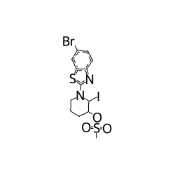 CS(=O)(=O)OC1CCCN(c2nc3ccc(Br)cc3s2)C1I